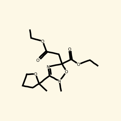 CCOC(=O)CC1(C(=O)OCC)N=C(C2(C)CCCO2)N(C)O1